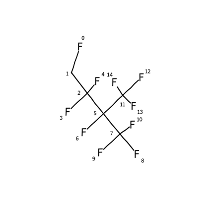 FCC(F)(F)C(F)(C(F)(F)F)C(F)(F)F